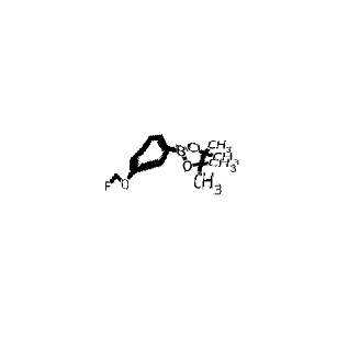 CC1(C)OB(c2cccc(OCF)c2)OC1(C)C